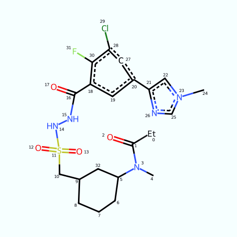 CCC(=O)N(C)C1CCCC(CS(=O)(=O)NNC(=O)c2cc(-c3cn(C)cn3)cc(Cl)c2F)C1